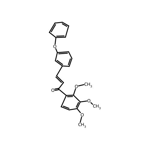 COc1ccc(C(=O)/C=C/c2cccc(Oc3ccccc3)c2)c(OC)c1OC